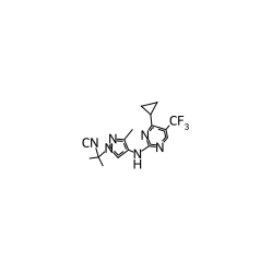 Cc1nn(C(C)(C)C#N)cc1Nc1ncc(C(F)(F)F)c(C2CC2)n1